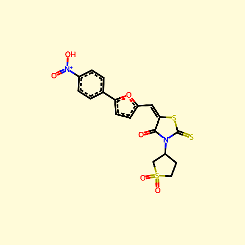 O=C1/C(=C\c2ccc(-c3ccc([N+](=O)O)cc3)o2)SC(=S)N1C1CCS(=O)(=O)C1